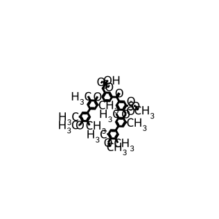 COc1c(C)cc(-c2cc(C)c(Oc3ccc(C(=O)c4ccc(Oc5c(C)cc(-c6cc(C)c(OC)c(C)c6)cc5C)c(S(=O)(=O)OC)c4)cc3CS(=O)(=O)O)c(C)c2)cc1C